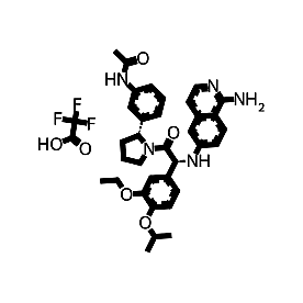 CCOc1cc([C@@H](Nc2ccc3c(N)nccc3c2)C(=O)N2CCC[C@@H]2c2cccc(NC(C)=O)c2)ccc1OC(C)C.O=C(O)C(F)(F)F